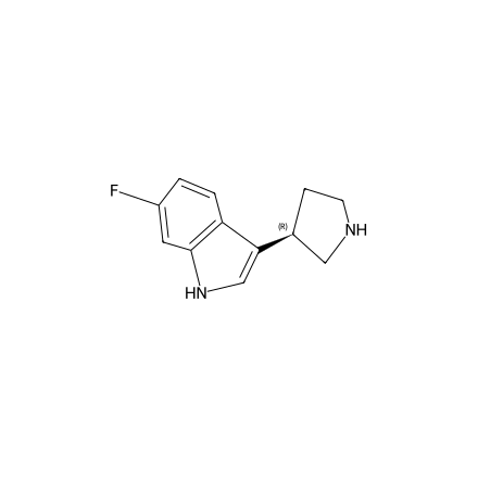 Fc1ccc2c([C@H]3CCNC3)c[nH]c2c1